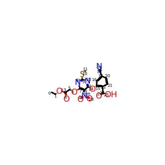 CCOC(=O)COc1nc(SC)nc(Oc2cc(C#N)ccc2C(=O)O)c1[N+](=O)[O-]